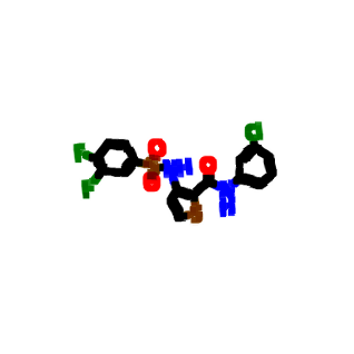 O=C(Nc1cccc(Cl)c1)c1sccc1NS(=O)(=O)c1ccc(F)c(F)c1